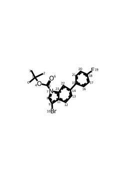 CC(C)(C)OC(=O)n1cc(Br)c2ccc(-c3ccc(F)cc3)cc21